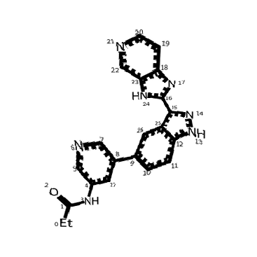 CCC(=O)Nc1cncc(-c2ccc3[nH]nc(-c4nc5ccncc5[nH]4)c3c2)c1